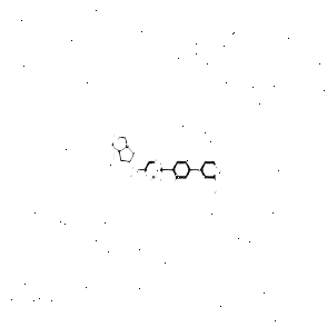 COc1cc(-c2ccc(-c3ncc(N(C)[C@@H]4C[C@H]5CNC[C@H]5C4)nn3)c(O)c2)ccn1